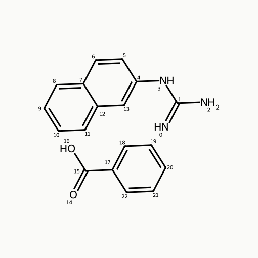 N=C(N)Nc1ccc2ccccc2c1.O=C(O)c1ccccc1